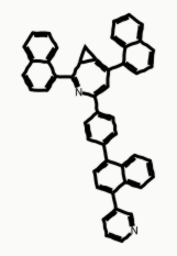 C1=C(c2ccc(-c3ccc(-c4cccnc4)c4ccccc34)cc2)N=C(c2cccc3ccccc23)C2CC2=C1c1cccc2ccccc12